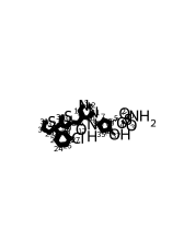 NS(=O)(=O)OC[C@H]1C[C@@H](Nc2ncncc2C(=O)c2cc(C3(c4cccc(Cl)c4)CCCS3)cs2)C[C@@H]1O